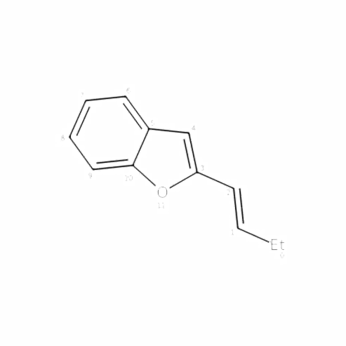 [CH2]CC=Cc1cc2ccccc2o1